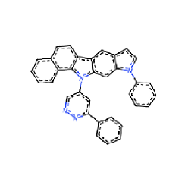 c1ccc(-c2cc(-n3c4cc5c(ccn5-c5ccccc5)cc4c4ccc5ccccc5c43)cnn2)cc1